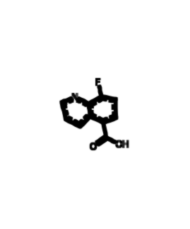 O=C(O)c1ccc(F)c2ncccc12